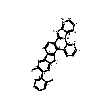 Cc1ccccc1-c1cc2[nH]c3c(ccc4c3c3cccnc3n3c5cccnc5nc43)c2cc1C